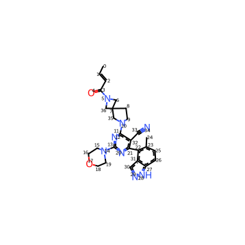 CC=CC(=O)N1CC2(CCN(c3nc(N4CCOCC4)nc(-c4c(C)ccc5[nH]ncc45)c3C#N)C2)C1